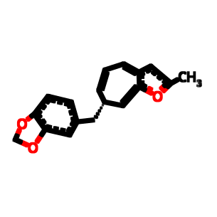 Cc1cc2c(o1)=C[C@H](Cc1ccc3c(c1)OCO3)C=CC=2